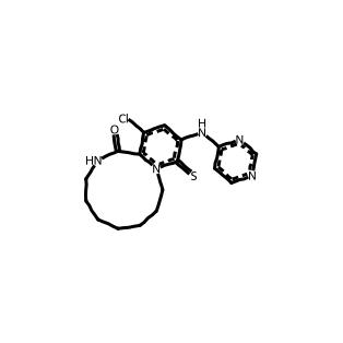 O=C1NCCCCCCCn2c1c(Cl)cc(Nc1ccncn1)c2=S